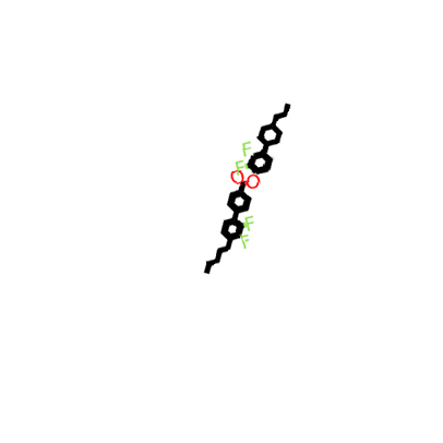 CCCCCc1ccc(-c2ccc(C(=O)Oc3ccc(C4CCC(CCC)CC4)c(F)c3F)cc2)c(F)c1F